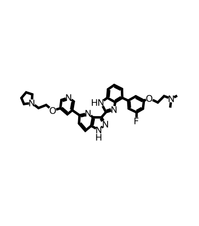 CN(C)CCOc1cc(F)cc(-c2cccc3[nH]c(-c4n[nH]c5ccc(-c6cncc(OCCN7CCCC7)c6)nc45)nc23)c1